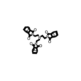 O=C1C2C3C=CC(O3)C2C(=O)N1CCN(CCN1C(=O)C2C3C=CC(O3)C2C1=O)CCN1C(=O)C2C3C=CC(O3)C2C1=O